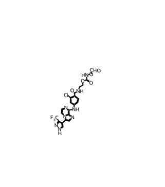 O=CONC(=O)OCCNC(=O)c1ccc(Nc2nccn3c(-c4c[nH]nc4C(F)(F)F)cnc23)cc1Cl